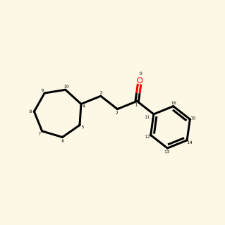 O=C(CCC1CCCCCC1)c1ccccc1